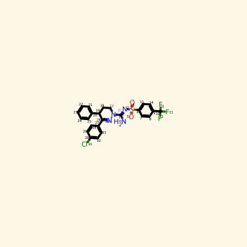 N/C(=N\S(=O)(=O)c1ccc(C(F)(F)F)cc1)N1CCC(c2ccccc2)C(c2ccc(Cl)cc2)=N1